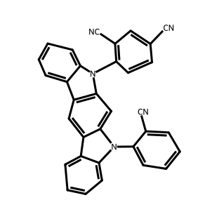 N#Cc1ccc(-n2c3ccccc3c3cc4c5ccccc5n(-c5ccccc5C#N)c4cc32)c(C#N)c1